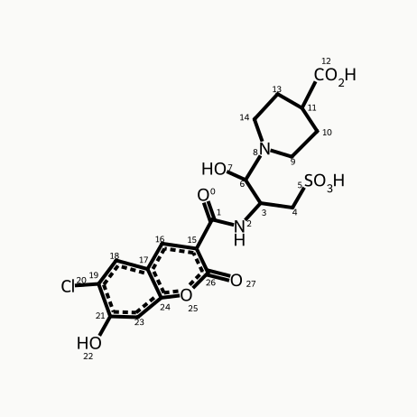 O=C(NC(CS(=O)(=O)O)C(O)N1CCC(C(=O)O)CC1)c1cc2cc(Cl)c(O)cc2oc1=O